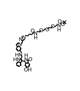 CC(C)(C)OC(=O)NCCOCCOCCOCCNC(=O)CCCCn1cnc(Cn2ccc3ccc(CNCc4[nH]c5ccccc5c4C4NC(=O)c5ccc(O)cc54)cc32)c1